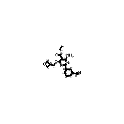 CCOC(=O)c1c(N)nc(-c2cccc(C#N)c2)nc1OCC1COC1